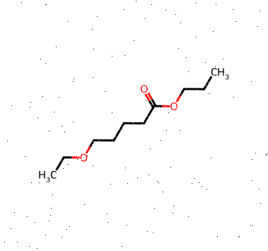 CCCOC(=O)CCCCOCC